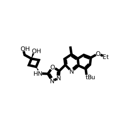 CCOc1cc(C(C)(C)C)c2nc(-c3nnc(N[C@H]4C[C@@](O)(CO)C4)o3)cc(C)c2c1